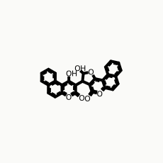 O=c1oc2ccc3ccccc3c2c(O)c1C1c2c(c3c(ccc4ccccc43)oc2=O)OC1O